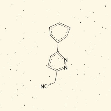 N#CCc1ccc(-c2ccccc2)nn1